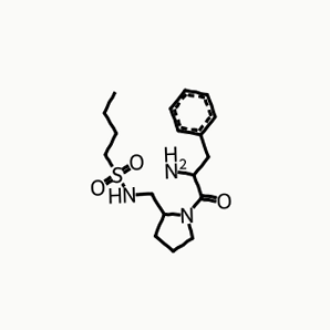 CCCCS(=O)(=O)NCC1CCCN1C(=O)C(N)Cc1ccccc1